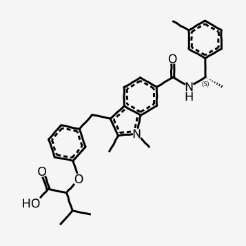 Cc1cccc([C@H](C)NC(=O)c2ccc3c(Cc4cccc(OC(C(=O)O)C(C)C)c4)c(C)n(C)c3c2)c1